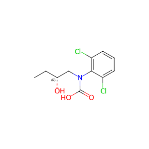 CC[C@@H](O)CN(C(=O)O)c1c(Cl)cccc1Cl